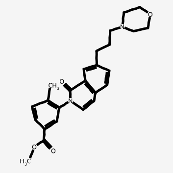 COC(=O)c1ccc(C)c(-n2ccc3ccc(CCCN4CCOCC4)cc3c2=O)c1